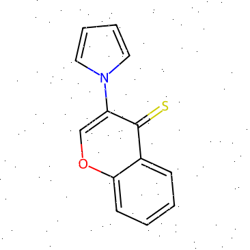 S=c1c(-n2cccc2)coc2ccccc12